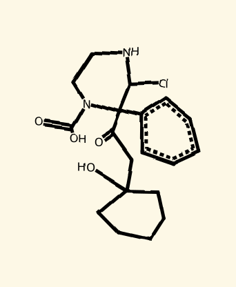 O=C(O)N1CCNC(Cl)C1(C(=O)CC1(O)CCCCC1)c1ccccc1